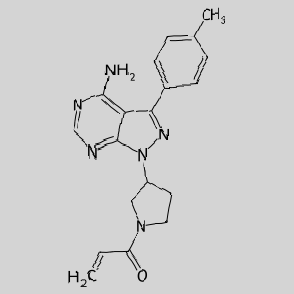 C=CC(=O)N1CCC(n2nc(-c3ccc(C)cc3)c3c(N)ncnc32)C1